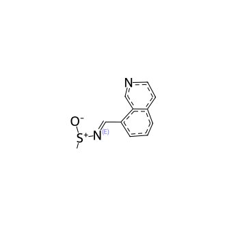 C[S+]([O-])/N=C/c1cccc2ccncc12